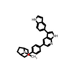 CN1CC2CCC(C1)N2Cc1ccc(-c2cnc3[nH]cc(-c4ccc5[nH]ccc5c4)c3c2)cc1